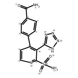 NC(=O)c1ccc(-c2ccnc(S(N)(=O)=O)c2-c2nnn[nH]2)cc1